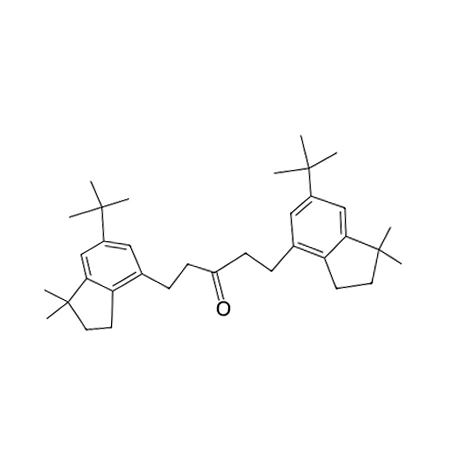 CC(C)(C)c1cc(CCC(=O)CCc2cc(C(C)(C)C)cc3c2CCC3(C)C)c2c(c1)C(C)(C)CC2